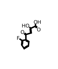 O=C(O)C(O)=CC(=O)c1ccccc1F